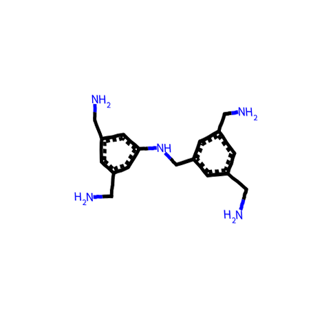 NCc1cc(CN)cc(CNc2cc(CN)cc(CN)c2)c1